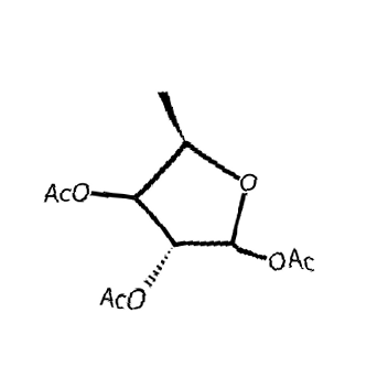 CC(=O)OC1O[C@H](C)C(OC(C)=O)[C@H]1OC(C)=O